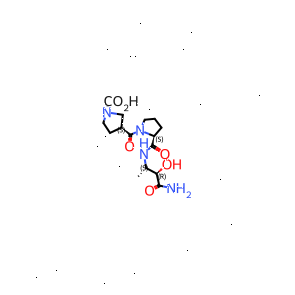 C[C@H](NC(=O)[C@@H]1CCCN1C(=O)[C@H]1CCN(C(=O)O)C1)[C@@H](O)C(N)=O